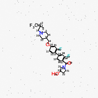 CC(C)(CN1CCC(COc2ccc(-c3ccc(C(=O)N4CCC(O)C4)c(F)c3)c(F)c2)CC1)C(F)(F)F